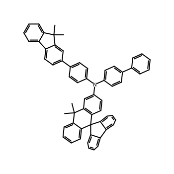 CC1(C)c2ccccc2-c2ccc(-c3ccc(N(c4ccc(-c5ccccc5)cc4)c4ccc5c(c4)C(C)(C)c4ccccc4C54c5ccccc5-c5ccccc54)cc3)cc21